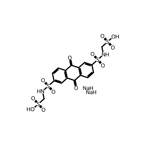 O=C1c2ccc(S(=O)(=O)NCS(=O)(=O)O)cc2C(=O)c2ccc(S(=O)(=O)NCS(=O)(=O)O)cc21.[NaH].[NaH]